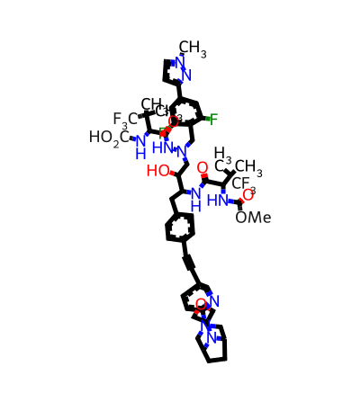 COC(=O)NC(C(=O)NC(Cc1ccc(C#Cc2ccc(N3CC4CCC(C3)N4C3COC3)nc2)cc1)C(O)CN(Cc1c(F)cc(-c2ccn(C)n2)cc1F)NC(=O)C(NC(=O)O)C(C)(C)C(F)(F)F)C(C)(C)C(F)(F)F